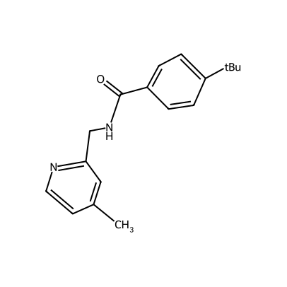 Cc1ccnc(CNC(=O)c2ccc(C(C)(C)C)cc2)c1